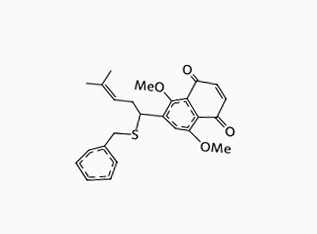 COc1cc(C(CC=C(C)C)SCc2ccccc2)c(OC)c2c1C(=O)C=CC2=O